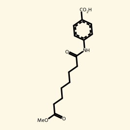 COC(=O)CCCCCCC(=O)Nc1ccc(C(=O)O)cc1